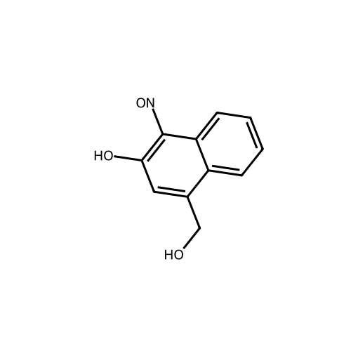 O=Nc1c(O)cc(CO)c2ccccc12